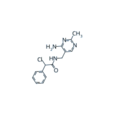 Cc1ncc(CNC(=O)C(Cl)c2ccccc2)c(N)n1